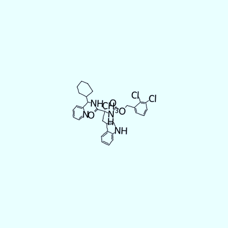 C[C@@](Cc1c[nH]c2ccccc12)(NC(=O)OCc1cccc(Cl)c1Cl)C(=O)NC(c1ccccn1)C1CCCCC1